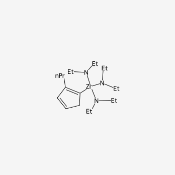 CCCC1=[C]([Zr]([N](CC)CC)([N](CC)CC)[N](CC)CC)CC=C1